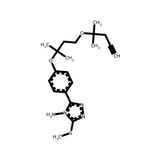 C#CCC(C)(C)OCCC(C)(C)Oc1ccc(-c2nnc(SC)n2N)cc1